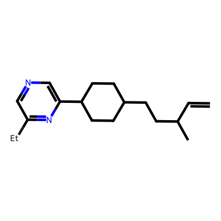 C=CC(C)CCC1CCC(c2cncc(CC)n2)CC1